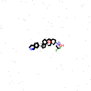 C[C@]12CC=C3C=C4CC[C@H]([N+](C)(O)CC(F)F)C[C@]45CC[C@]3(O5)[C@@H]1CC[C@@H]2c1ccc2ccncc2c1